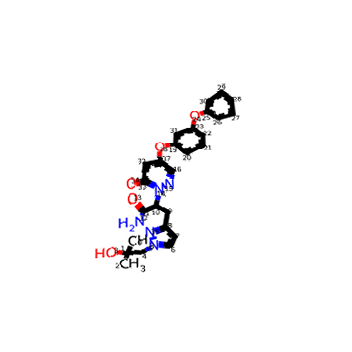 CC(C)(O)Cn1ccc(CC(C(N)=O)n2ncc(Oc3cccc(Oc4ccccc4)c3)cc2=O)n1